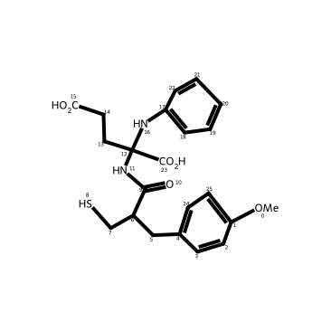 COc1ccc(CC(CS)C(=O)NC(CCC(=O)O)(Nc2ccccc2)C(=O)O)cc1